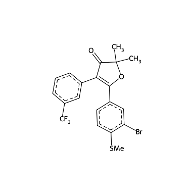 CSc1ccc(C2=C(c3cccc(C(F)(F)F)c3)C(=O)C(C)(C)O2)cc1Br